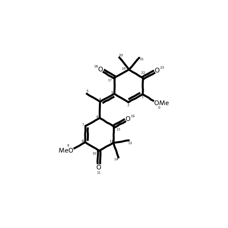 COC1=CC(=C(C)C2C=C(OC)C(=O)C(C)(C)C2=O)C(=O)C(C)(C)C1=O